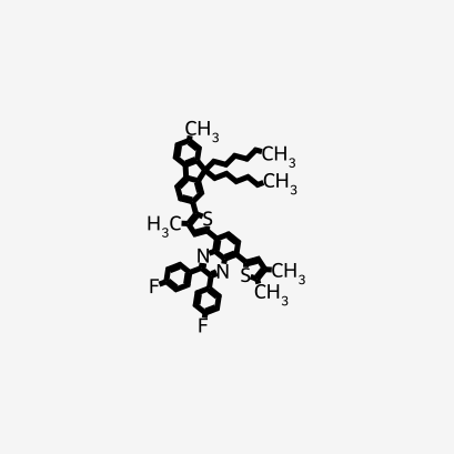 CCCCCCC1(CCCCCC)c2cc(C)ccc2-c2ccc(-c3sc(-c4ccc(-c5cc(C)c(C)s5)c5nc(-c6ccc(F)cc6)c(-c6ccc(F)cc6)nc45)cc3C)cc21